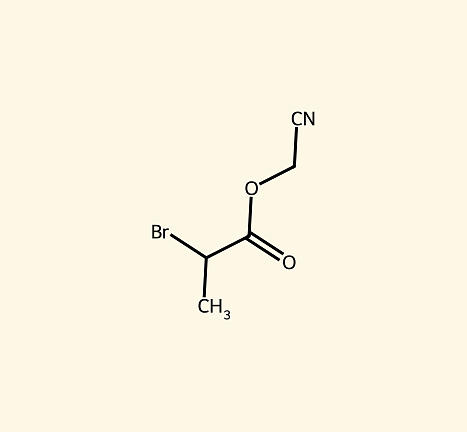 CC(Br)C(=O)OCC#N